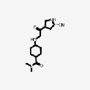 CN(C)C(=O)C1CCC(NCC(=O)C2CN[C@H](C#N)C2)CC1